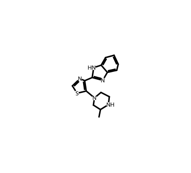 CC1CN(c2scnc2-c2nc3ccccc3[nH]2)CCN1